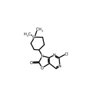 C[Si]1(C)CCC(n2c(=O)oc3cnc(Cl)nc32)CC1